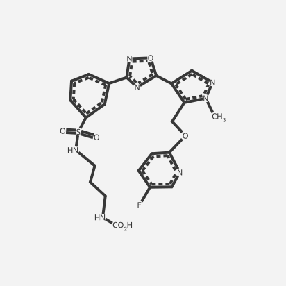 Cn1ncc(-c2nc(-c3cccc(S(=O)(=O)NCCCNC(=O)O)c3)no2)c1COc1ccc(F)cn1